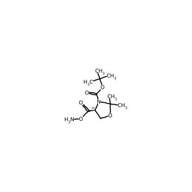 CC(C)(C)OC(=O)N1[C@H](C(=O)ON)COC1(C)C